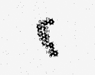 CCc1ccccc1-c1cnc(C(=O)N2CCC(CN3CCN(CC(=O)N4CCN(C(=O)c5cc(Cc6n[nH]c(=O)c7ccccc67)ccc5F)CC4)CC3)CC2)c(NC(=O)CNCc2ccncn2)c1